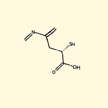 C=NC(=C)C[C@H](S)C(=O)O